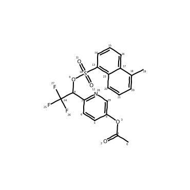 CC(=O)Oc1ccc(C(OS(=O)(=O)c2cccc3c(C)cccc23)C(F)(F)F)nc1